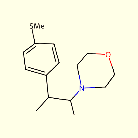 CSc1ccc(C(C)C(C)N2CCOCC2)cc1